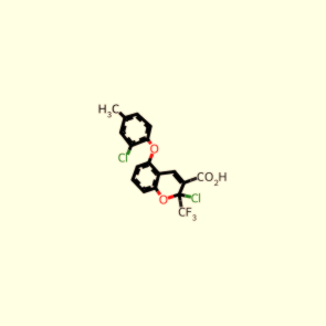 Cc1ccc(Oc2cccc3c2C=C(C(=O)O)C(Cl)(C(F)(F)F)O3)c(Cl)c1